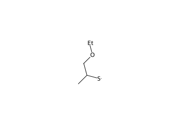 CCOCC(C)[S]